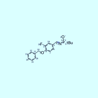 CC(C)(C)[S@@+]([O-])/N=C/c1ccc(OCc2ccccc2)c(F)c1